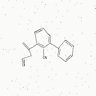 C=CCC(=C)c1cccc(-c2ccccc2)c1C#N